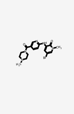 CN1CCN(C(=O)c2ccc(Nc3cc(Br)cn(C)c3=O)nc2)CC1